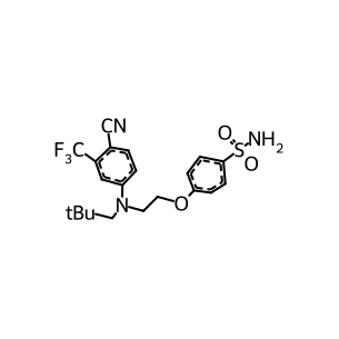 CC(C)(C)CN(CCOc1ccc(S(N)(=O)=O)cc1)c1ccc(C#N)c(C(F)(F)F)c1